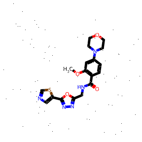 COc1cc(N2CCOCC2)ccc1C(=O)NCc1nnc(-c2cncs2)o1